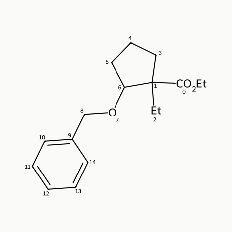 CCOC(=O)C1(CC)CCCC1OCc1ccccc1